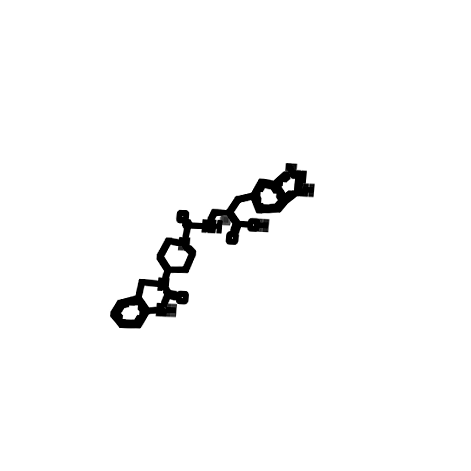 O=C(O)[C@@H](CNC(=O)N1CCC(N2Cc3ccccc3NC2=O)CC1)Cc1ccc2[nH]nnc2c1